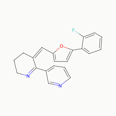 Fc1ccccc1-c1ccc(/C=C2/CCCN=C2c2cccnc2)o1